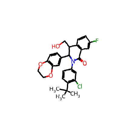 CC(C)(C)c1ccc(N2C(=O)c3cc(F)ccc3C(CO)C2c2ccc3c(c2)OCCO3)cc1Cl